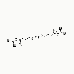 CCC(CC)O[SiH2]CCCSSSSCCC[SiH2]OC(CC)CC